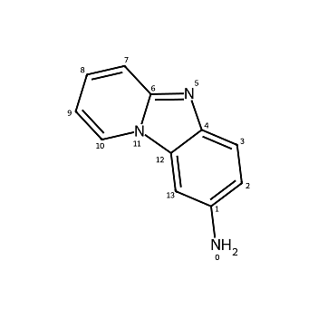 Nc1ccc2nc3ccccn3c2c1